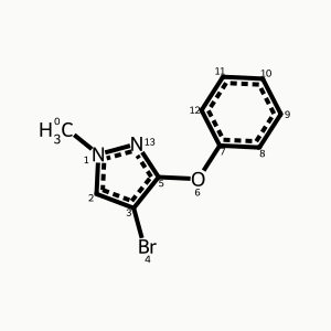 Cn1cc(Br)c(Oc2ccccc2)n1